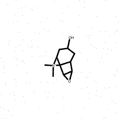 C[N+]1(C)C2CC(O)CC3C4OC4C321